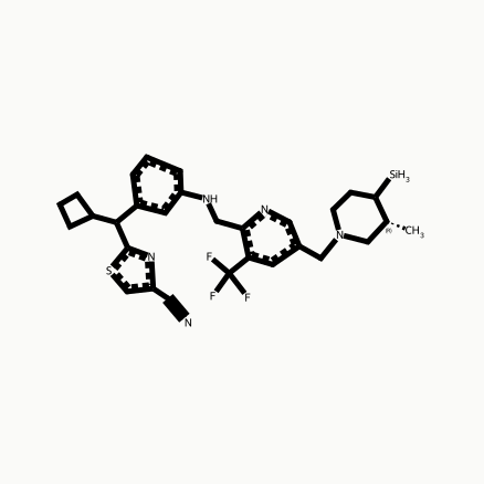 C[C@@H]1CN(Cc2cnc(CNc3cccc(C(c4nc(C#N)cs4)C4CCC4)c3)c(C(F)(F)F)c2)CCC1[SiH3]